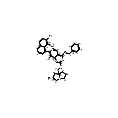 Fc1ccc2cccc(-c3ncc4c(SCc5ccccc5)nc(OC[C@@]56CCCN5C[C@H](F)C6)nc4c3F)c2c1Cl